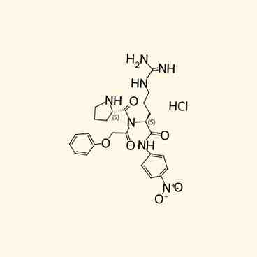 Cl.N=C(N)NCCC[C@@H](C(=O)Nc1ccc([N+](=O)[O-])cc1)N(C(=O)COc1ccccc1)C(=O)[C@@H]1CCCN1